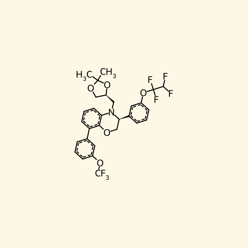 CC1(C)OC[C@H](CN2c3cccc(-c4cccc(OC(F)(F)F)c4)c3OC[C@@H]2c2cccc(OC(F)(F)C(F)F)c2)O1